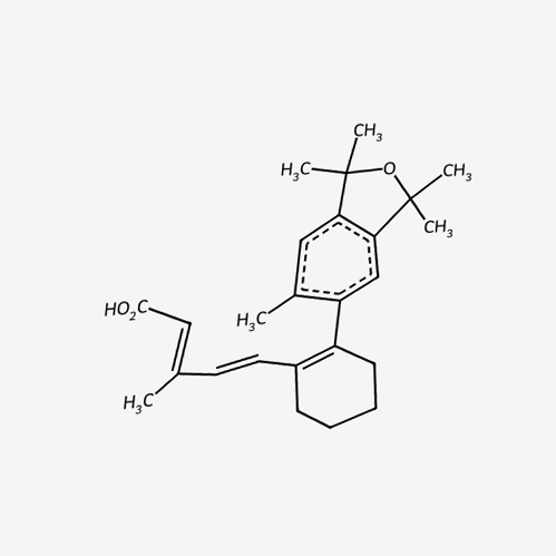 CC(C=CC1=C(c2cc3c(cc2C)C(C)(C)OC3(C)C)CCCC1)=CC(=O)O